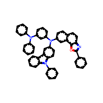 c1ccc(-c2nc3ccc4ccc(N(c5cccc(N(c6ccccc6)c6ccccc6)c5)c5ccc6c(c5)c5ccccc5n6-c5ccccc5)cc4c3o2)cc1